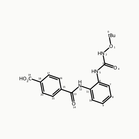 CC(C)(C)ONC(=O)Nc1ccccc1NC(=O)c1ccc(C(=O)O)cc1